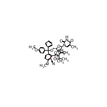 COc1ccc(C(OC[C@H]2O[C@@H](n3cc(C)c(=O)[nH]c3=O)C[C@]2(C)O[PH](O)(CCC#N)N(C(C)C)C(C)C)(c2ccccc2)c2ccc(OC)cc2)cc1